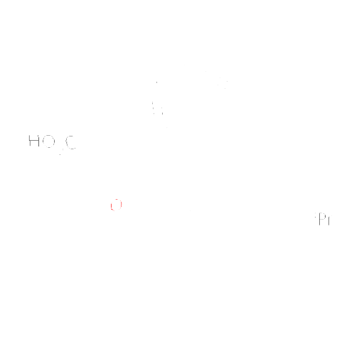 CC(C)CC1CCCC(O[C@H](C(=O)O)c2ccccc2)C1